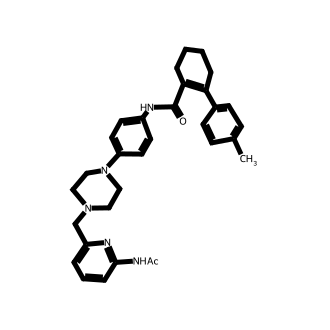 CC(=O)Nc1cccc(CN2CCN(c3ccc(NC(=O)C4=C(c5ccc(C)cc5)CCCC4)cc3)CC2)n1